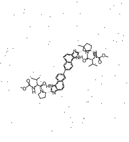 COC(=O)N[C@H](C(=O)N1CCC[C@H]1c1nc2ccc3cc(-c4ccc5c(ccc6nc([C@H]7N(C(=O)[C@@H](NC(=O)OC)C(C)C)[C@@H]8CCC7(C)C8)[nH]c65)c4)ccc3c2[nH]1)C(C)C